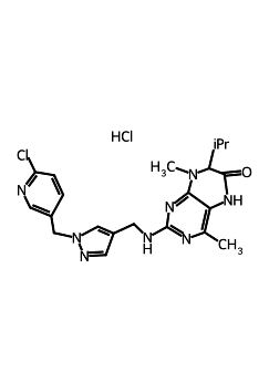 Cc1nc(NCc2cnn(Cc3ccc(Cl)nc3)c2)nc2c1NC(=O)C(C(C)C)N2C.Cl